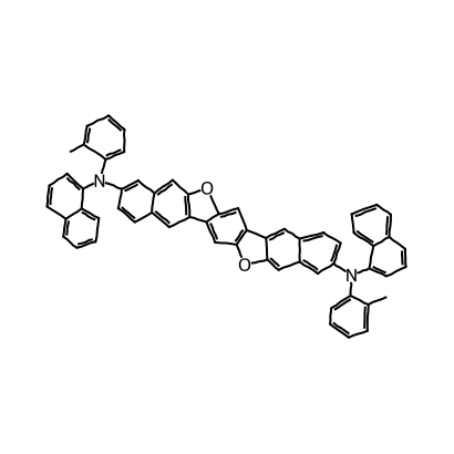 Cc1ccccc1N(c1ccc2cc3c(cc2c1)oc1cc2c(cc13)oc1cc3cc(N(c4ccccc4C)c4cccc5ccccc45)ccc3cc12)c1cccc2ccccc12